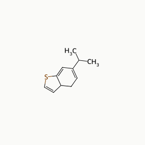 CC(C)C1=CCC2C=CSC2=C1